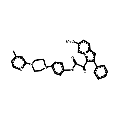 COc1ccc2cc(-c3ccccc3)c(C(=O)C(=O)Nc3ccc(N4CCN(c5cc(C)ccn5)CC4)cc3)n2c1